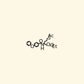 CCOCOCC(CCCSC(C)=O)NC(=O)c1ccc(Oc2ccccc2)cc1